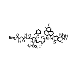 CC[C@@]1(O)C(=O)OCc2c1cc1n(c2=O)Cc2c-1nc1cc(F)c(C)c3c1c2[C@@H](NC(=O)CN(CCN(CC(N)=O)C(=O)[C@H](Cc1ccccc1)NC(=O)CNC(=O)CNC(=O)OC(C)(C)C)CC(=O)O)CC3